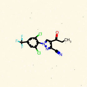 CCC(=O)c1cn(-c2c(Cl)cc(C(F)(F)F)cc2Cl)nc1C#N